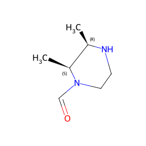 C[C@H]1NCCN(C=O)[C@H]1C